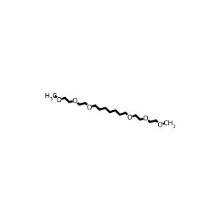 COCCOCCOCCCCCCCOCCOCCOC